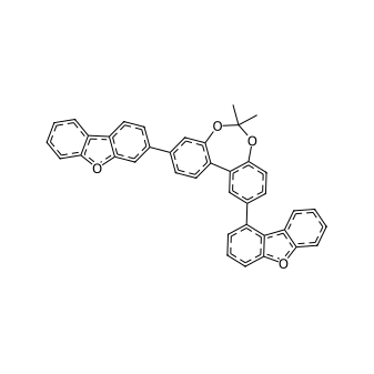 CC1(C)Oc2cc(-c3ccc4c(c3)oc3ccccc34)ccc2-c2cc(-c3cccc4oc5ccccc5c34)ccc2O1